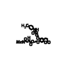 CNC(=O)CNC(=O)OCCOc1cc2oc(=O)ccc2cc1OCOOC(=O)NC1CCC(C)CC1